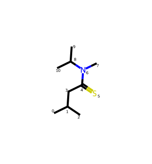 CC(C)CC(=S)N(C)C(C)C